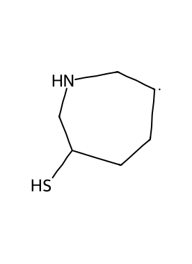 SC1CC[CH]CNC1